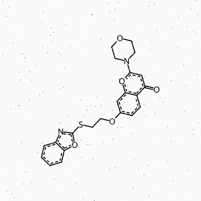 O=c1cc(N2CCOCC2)oc2cc(OCCSc3nc4ccccc4o3)ccc12